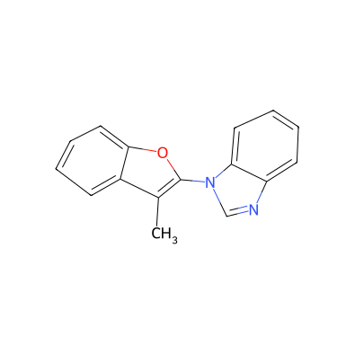 Cc1c(-n2cnc3ccccc32)oc2ccccc12